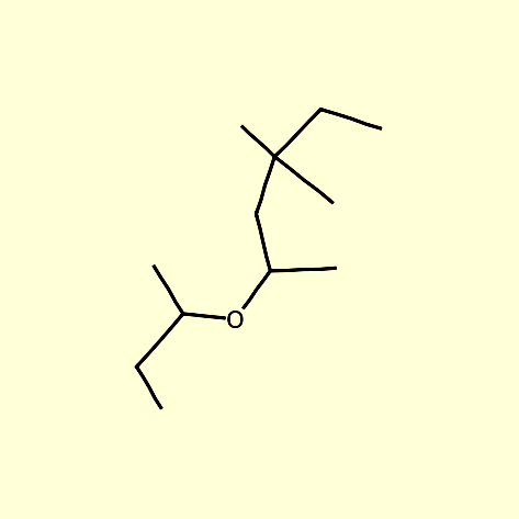 CCC(C)OC(C)CC(C)(C)CC